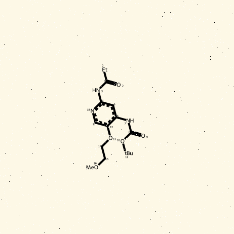 CCC(=O)Nc1cc(NC(=O)OC(C)(C)C)c(OCCOC)cn1